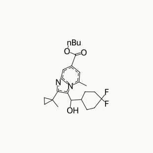 CCCCOC(=O)c1cc(C)n2c(C(O)C3CCC(F)(F)CC3)c(C3(C)CC3)nc2c1